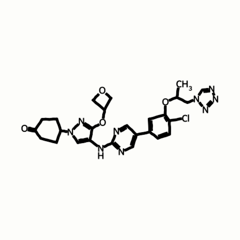 CC(Cn1cnnn1)Oc1cc(-c2cnc(Nc3cn(C4CCC(=O)CC4)nc3OC3COC3)nc2)ccc1Cl